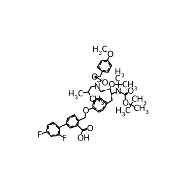 COc1ccc(S(=O)(=O)N(CC(C)C)C[C@H]2OC(C)(C)N(C(=O)OC(C)(C)C)[C@H]2Cc2ccc(OCc3ccc(-c4ccc(F)cc4F)cc3C(=O)O)cc2)cc1